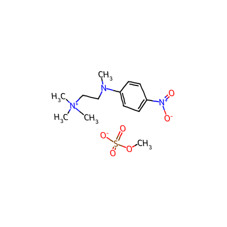 CN(CC[N+](C)(C)C)c1ccc([N+](=O)[O-])cc1.COS(=O)(=O)[O-]